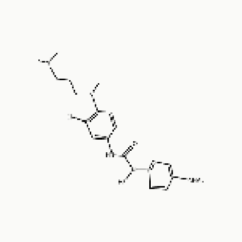 CC(=O)Nc1ccc(N(S)C(=O)Nc2ccc(N(C)CCCN(C)C)c(Cl)c2)cc1